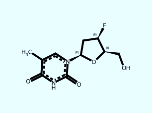 Cc1cn([C@H]2C[C@@H](F)[C@@H](CO)O2)c(=O)[nH]c1=O